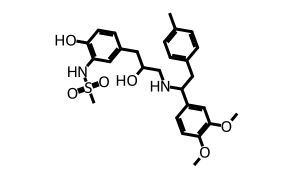 COc1ccc(C(Cc2ccc(C)cc2)NCC(O)Cc2ccc(O)c(NS(C)(=O)=O)c2)cc1OC